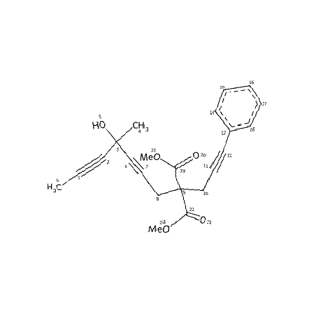 CC#CC(C)(O)C#CCC(CC#Cc1ccccc1)(C(=O)OC)C(=O)OC